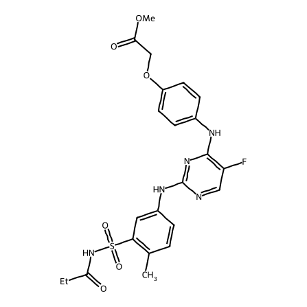 CCC(=O)NS(=O)(=O)c1cc(Nc2ncc(F)c(Nc3ccc(OCC(=O)OC)cc3)n2)ccc1C